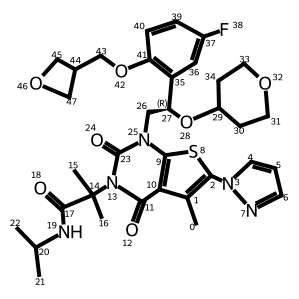 Cc1c(-n2cccn2)sc2c1c(=O)n(C(C)(C)C(=O)NC(C)C)c(=O)n2C[C@H](OC1CCOCC1)c1cc(F)ccc1OCC1COC1